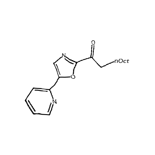 CCCCCCCCCC(=O)c1ncc(-c2ccccn2)o1